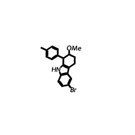 COC1CCc2c([nH]c3ccc(Br)cc23)C1c1ccc(C)cc1